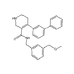 COCc1cccc(CNC(=O)C2=C(c3cccc(-c4ccccc4)c3)CCNC2)c1